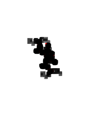 Cc1cc(C)cc(-c2ccc3c(c2)c2ccccc2n3-c2ccc(-c3cccc(-c4ccc(-n5c6ccccc6c6cc(-c7cc(C)cc(C)c7)ccc65)cc4-c4nc(-c5ccccc5)nc(-c5ccccc5)n4)c3)c(-c3nc(-c4ccccc4)nc(-c4ccccc4)n3)c2)c1